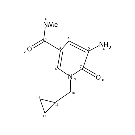 CNC(=O)c1cc(N)c(=O)n(CC2CC2)c1